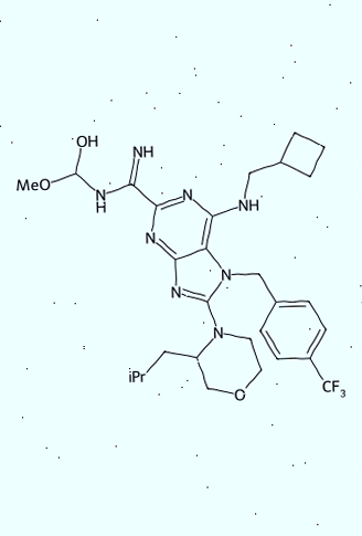 COC(O)NC(=N)c1nc(NCC2CCC2)c2c(n1)nc(N1CCOCC1CC(C)C)n2Cc1ccc(C(F)(F)F)cc1